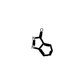 O=C1N=Nc2ccccc21